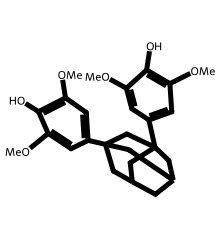 COc1cc(C23CC4CC(C2)CC(c2cc(OC)c(O)c(OC)c2)(C4)C3)cc(OC)c1O